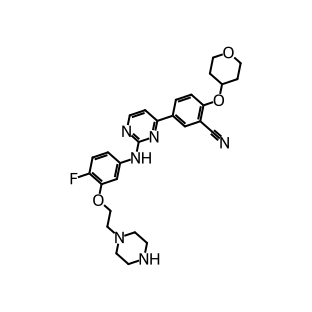 N#Cc1cc(-c2ccnc(Nc3ccc(F)c(OCCN4CCNCC4)c3)n2)ccc1OC1CCOCC1